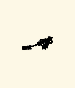 COc1cc2c(NCc3cccc(Br)c3)nc(C)nc2cc1OCCCCCCC=O